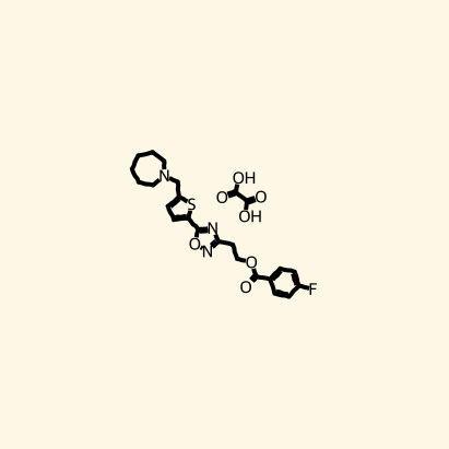 O=C(O)C(=O)O.O=C(OCCc1noc(-c2ccc(CN3CCCCCC3)s2)n1)c1ccc(F)cc1